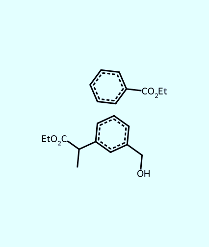 CCOC(=O)C(C)c1cccc(CO)c1.CCOC(=O)c1ccccc1